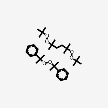 CC(C)(C)OOC(C)(C)CCC(C)(C)OOC(C)(C)C.CC(C)(OOC(C)(C)c1ccccc1)c1ccccc1